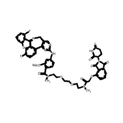 COc1cc(Nc2ncc3c(n2)-c2ccc(Cl)cc2C(c2c(F)cccc2OC)=NC3)ccc1C(=O)N(C)CCOCCOCCN(C)C(=O)COc1cccc2c1C(=O)N(C1CCC(=O)NC1=O)C2=O